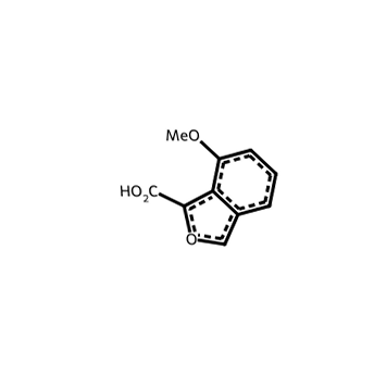 COc1cccc2coc(C(=O)O)c12